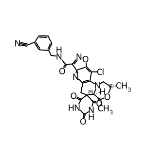 C[C@H]1CN2c3c(nc4c(C(=O)NCc5cccc(C#N)c5)noc4c3Cl)CC3(C(=O)NC(=O)NC3=O)[C@@H]2[C@@H](C)O1